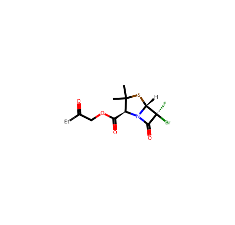 CCC(=O)COC(=O)[C@@H]1N2C(=O)[C@](F)(Br)[C@H]2SC1(C)C